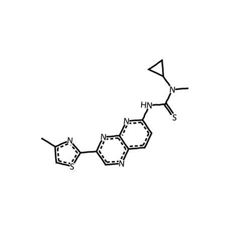 Cc1csc(-c2cnc3ccc(NC(=S)N(C)C4CC4)nc3n2)n1